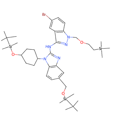 CC(C)(C)[Si](C)(C)OCc1ccc2c(c1)nc(Nc1nn(COCC[Si](C)(C)C)c3ccc(Br)cc13)n2C1CCC(O[Si](C)(C)C(C)(C)C)CC1